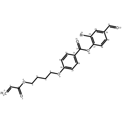 C=CC(=O)OCCCCOc1ccc(C(=O)Oc2ccc(C=O)cc2Br)cc1